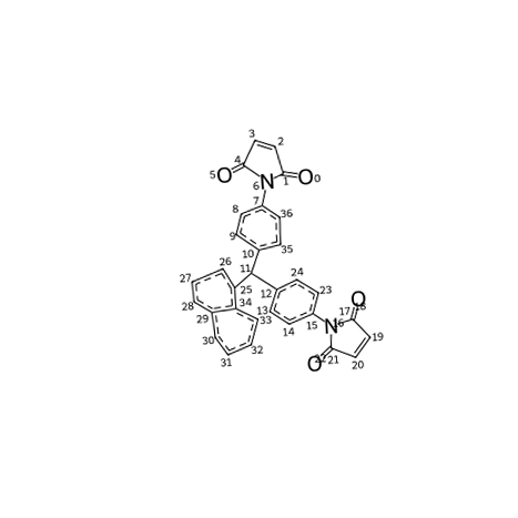 O=C1C=CC(=O)N1c1ccc(C(c2ccc(N3C(=O)C=CC3=O)cc2)c2cccc3ccccc23)cc1